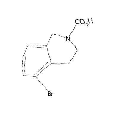 O=C(O)N1CCc2c(Br)cccc2C1